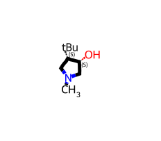 CN1C[C@@H](O)[C@@H](C(C)(C)C)C1